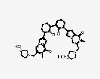 Cn1c(CN2CC[C@H](O)C2)cn2cc(-c3cccc(-c4cccc(-c5cc6c(=O)n(C)c(CN7CC[C@H](O)C7)cn6c5)c4Cl)c3Cl)cc2c1=O